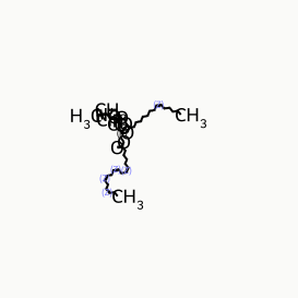 CC/C=C\C/C=C\C/C=C\C/C=C\CCCCC(=O)OC[C@H](COP(=O)([O-])OCC[N+](C)(C)C)OC(=O)CCCCCCC/C=C\CCCCC